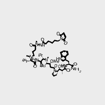 CC[C@H](C)[C@@H]([C@@H](CC(=O)N1CCC[C@H]1[C@H](OC)[C@@H](C)C(=O)N[C@@H](Cc1c[nH]c2ccccc12)C(N)=O)OC)N(C)[C@H](C(=O)NC(=O)[C@H](C(C)C)N(C)CCCC(=O)N(C)NC(=O)CCCCCN1C(=O)C=CC1=O)C(C)C